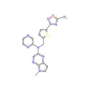 Cn1ccc2nc(N(Cc3ccc(-c4noc(C(F)(F)F)n4)s3)c3cnccn3)cnc21